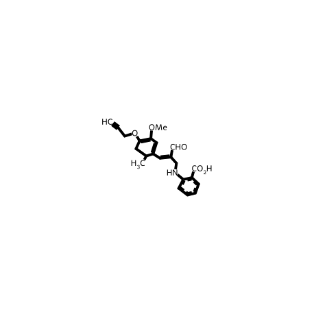 C#CCOC1=C(OC)C=C(/C=C(\C=O)CNc2ccccc2C(=O)O)C(C)C1